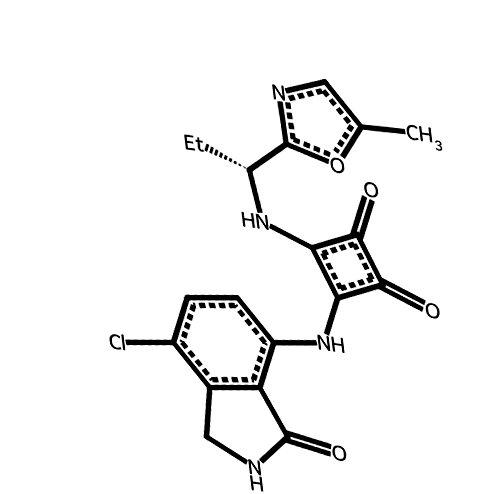 CC[C@@H](Nc1c(Nc2ccc(Cl)c3c2C(=O)NC3)c(=O)c1=O)c1ncc(C)o1